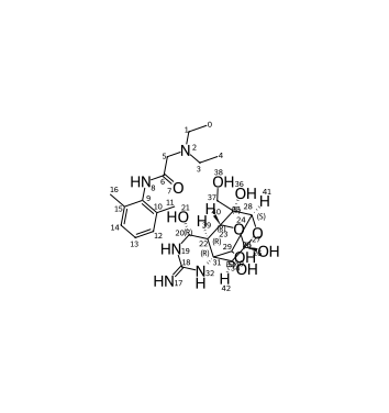 CCN(CC)CC(=O)Nc1c(C)cccc1C.N=C1N[C@H](O)[C@H]2[C@H]3O[C@]4(O)O[C@@H](C(O)[C@@]2(N1)[C@@H]4O)[C@]3(O)CO